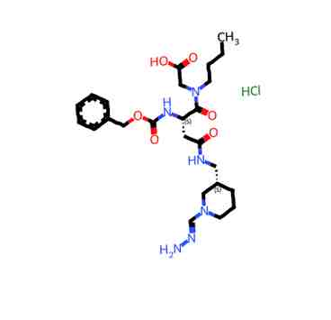 CCCCN(CC(=O)O)C(=O)[C@H](CC(=O)NC[C@@H]1CCCN(C=NN)C1)NC(=O)OCc1ccccc1.Cl